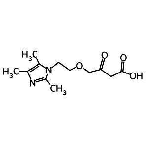 Cc1nc(C)n(CCOCC(=O)CC(=O)O)c1C